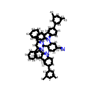 Cc1cc(C)cc(-c2ccc3c(c2)c2ccccc2n3-c2cc(C#N)cc(-n3c4ccccc4c4cc(-c5cc(C)cc(C)c5)ccc43)c2-c2nc(-c3ccccc3)cc(-c3ccccc3)n2)c1